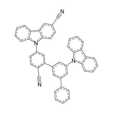 N#Cc1ccc2c(c1)c1ccccc1n2-c1ccc(C#N)c(-c2cc(-c3ccccc3)cc(-n3c4ccccc4c4ccccc43)c2)c1